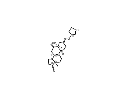 C=C1C[C@H]2[C@@H]3CCC(=O)[C@@]3(C)CC[C@@H]2[C@@]2(C)CCC(=NO[C@H]3CCNC3)C[C@]12O